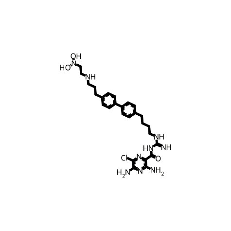 N=C(NCCCCc1ccc(-c2ccc(CCCNCCN(O)O)cc2)cc1)NC(=O)c1nc(Cl)c(N)nc1N